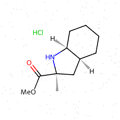 COC(=O)[C@]1(C)C[C@@H]2CCCC[C@@H]2N1.Cl